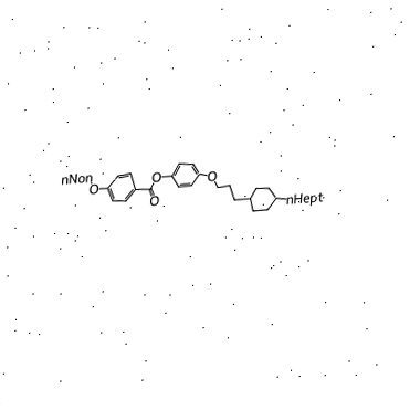 CCCCCCCCCOc1ccc(C(=O)Oc2ccc(OCCCC3CCC(CCCCCCC)CC3)cc2)cc1